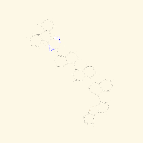 C1=c2c(-c3cccc4c(-c5ccc(-c6cccc7c6sc6ccccc67)c6ccccc56)cccc34)cccc2=C(c2cnc3c4ccccc4c4ccccc4c3n2)CC1